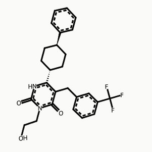 O=c1[nH]c([C@H]2CC[C@H](c3ccccc3)CC2)c(Cc2cccc(C(F)(F)F)c2)c(=O)n1CCO